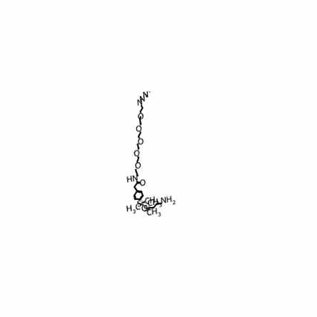 C[Si](C)(CCCN)O[Si](C)(C)c1ccc(CC(=O)NCCOCCOCCOCCOCCOCCN=[N+]=[N-])cc1